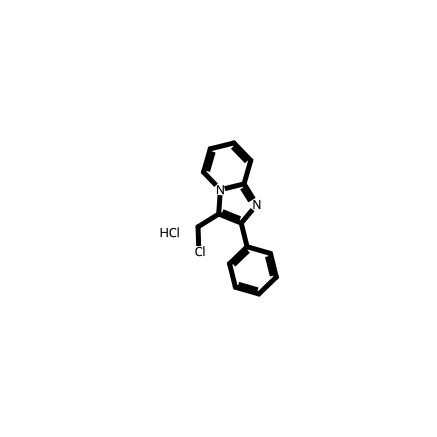 Cl.ClCc1c(-c2ccccc2)nc2ccccn12